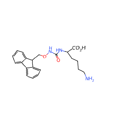 NCCCCC(NC(=O)NOCC1c2ccccc2-c2ccccc21)C(=O)O